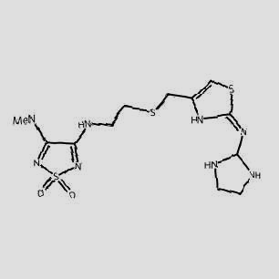 CNC1=NS(=O)(=O)N=C1NCCSCc1cs/c(=N/C2NCCN2)[nH]1